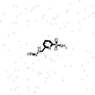 N=NNCc1cccc(S(N)(=O)=O)n1